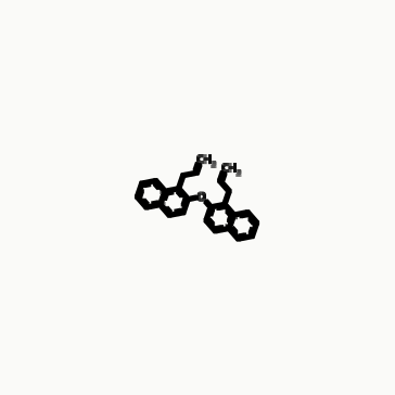 C=CCc1c(Oc2ccc3ccccc3c2CC=C)ccc2ccccc12